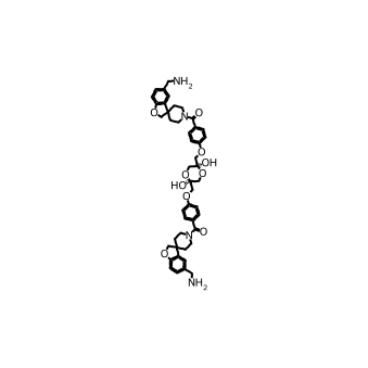 NCc1ccc2c(c1)C1(CCN(C(=O)c3ccc(OC[C@]4(O)CO[C@](O)(COc5ccc(C(=O)N6CCC7(CC6)COc6ccc(CN)cc67)cc5)CO4)cc3)CC1)CO2